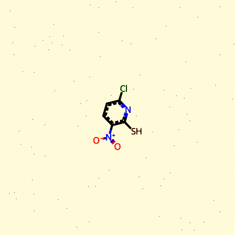 O=[N+]([O-])c1ccc(Cl)nc1S